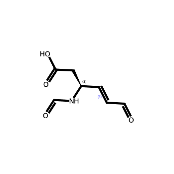 O=C/C=C/[C@H](CC(=O)O)NC=O